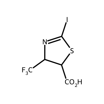 O=C(O)C1SC(I)=NC1C(F)(F)F